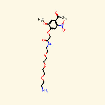 COc1cc(C(C)=O)c([N+](=O)[O-])cc1OCC(=O)NCCOCCOCCOCCN